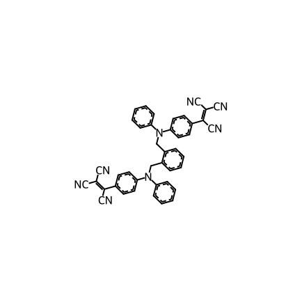 N#CC(C#N)=C(C#N)c1ccc(N(Cc2ccccc2CN(c2ccccc2)c2ccc(C(C#N)=C(C#N)C#N)cc2)c2ccccc2)cc1